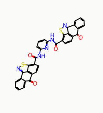 O=C(Nc1cccc(NC(=O)c2ccc3c4c(nsc24)-c2ccccc2C3=O)n1)c1ccc2c3c(nsc13)-c1ccccc1C2=O